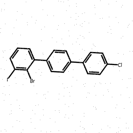 Clc1ccc(-c2ccc(-c3cccc(I)c3Br)cc2)cc1